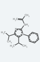 C=C(C)[SiH2]c1nc(C(C)C)c(C(C)C)n1-c1ccccc1